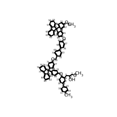 COCC(O)Cc1cc(-c2ccc(C)cc2)ccc1Oc1ccc(C2(c3ccc(OCc4ccc(-c5ccc(Oc6ccc(C7(c8ccc(OC)cc8)c8ccccc8-c8ccccc87)cc6)cc5)cc4)cc3)c3ccccc3-c3ccccc32)cc1